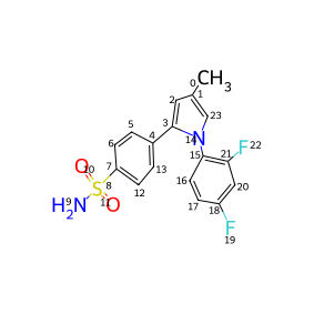 Cc1cc(-c2ccc(S(N)(=O)=O)cc2)n(-c2ccc(F)cc2F)c1